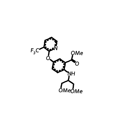 COCC(COC)Nc1ccc(Oc2ncccc2C(F)(F)F)cc1C(=O)OC